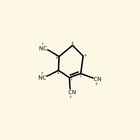 N#CC1=C(C#N)C(C#N)C(C#N)CC1